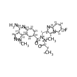 CCC(=O)N(C)N(Cc1cn2cc(F)ccc2n1)C(=O)c1ccc2nc(N)c3cnn(C)c3c2c1